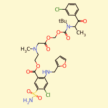 CC(C(=O)c1cccc(Cl)c1)N(C(=O)OCOC(=O)CN(C)CCOC(=O)c1cc(S(N)(=O)=O)c(Cl)cc1NCc1ccco1)C(C)(C)C